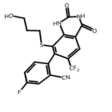 N#Cc1cc(F)ccc1-c1c(C(F)(F)F)cc2c(=O)[nH]c(=O)[nH]c2c1SCCCO